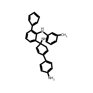 Cc1cccc(Nc2c(-c3ccccc3)cccc2C2(N)C=CC(c3ccc(N)cc3)=CC2)c1